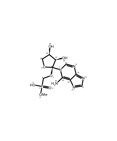 COP(=O)(O)CO[C@@]1(n2cnc3ncnc-3c2N)OC[C@@H](O)[C@H]1O